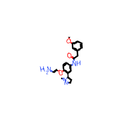 COc1cccc(CC(=O)Nc2ccc(OCCN)c(-c3ccnn3C)c2)c1